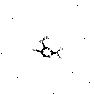 CCCCNc1nc(N(C(C)=O)C(C)=O)ncc1O